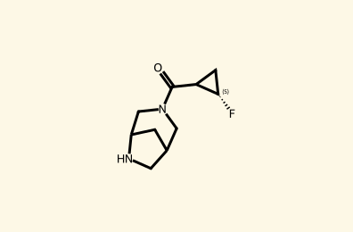 O=C(C1C[C@@H]1F)N1CC2CNC(C2)C1